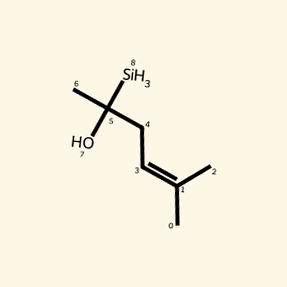 CC(C)=CCC(C)(O)[SiH3]